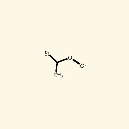 [CH2]CC(C)O[O]